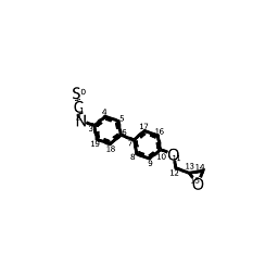 S=C=Nc1ccc(-c2ccc(OCC3CO3)cc2)cc1